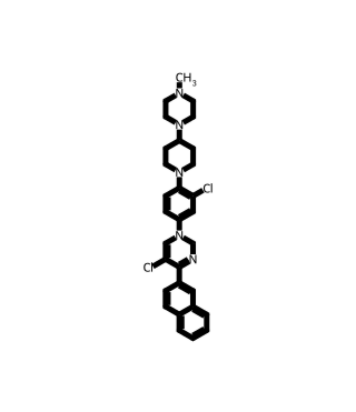 CN1CCN(C2CCN(c3ccc(N4C=C(Cl)C(c5ccc6ccccc6c5)=NC4)cc3Cl)CC2)CC1